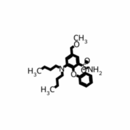 CCCCN(CCCC)c1cc(COC)cc(S(N)(=O)=O)c1Oc1ccccc1